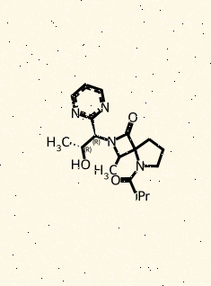 CC(C)C(=O)N1CCCC12C(=O)N([C@H](c1ncccn1)[C@@H](C)O)C2C